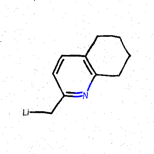 [Li][CH2]c1ccc2c(n1)CCCC2